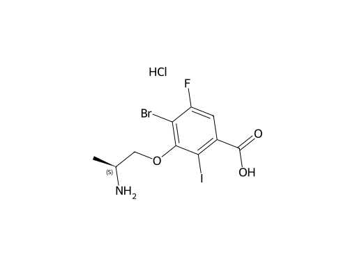 C[C@H](N)COc1c(Br)c(F)cc(C(=O)O)c1I.Cl